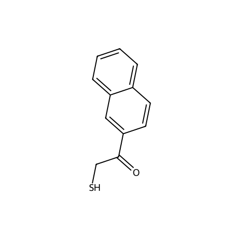 O=C(CS)c1ccc2ccccc2c1